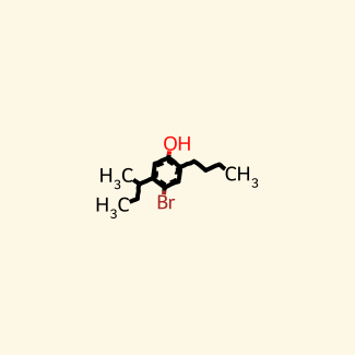 CCCCc1cc(Br)c(C(C)CC)cc1O